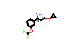 N[C@@H](CCOC1CC1)c1cccc(OC(F)F)c1